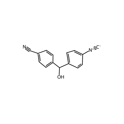 [C-]#[N+]c1ccc(C(O)c2ccc(C#N)cc2)cc1